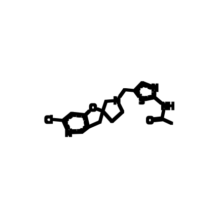 CC(=O)Nc1ncc(CN2CCC3(Cc4cnc(Cl)cc4O3)C2)s1